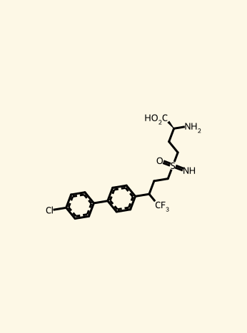 N=S(=O)(CCC(c1ccc(-c2ccc(Cl)cc2)cc1)C(F)(F)F)CC[C@H](N)C(=O)O